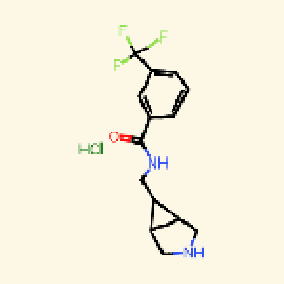 Cl.O=C(NCC1C2CNCC21)c1cccc(C(F)(F)F)c1